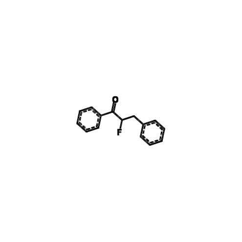 O=C(c1ccccc1)C(F)Cc1ccccc1